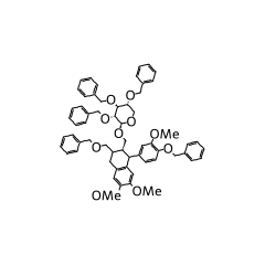 COc1cc2c(cc1OC)C(c1ccc(OCc3ccccc3)c(OC)c1)[C@H](CO[C@@H]1OC[C@@H](OCc3ccccc3)[C@H](OCc3ccccc3)[C@H]1OCc1ccccc1)C(COCc1ccccc1)C2